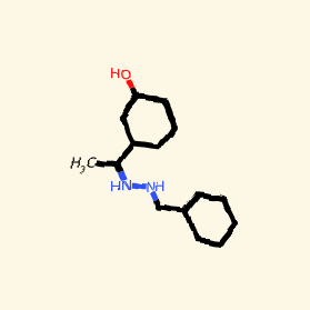 CC(NNCC1CCCCC1)C1CCCC(O)C1